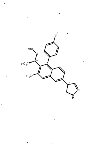 Cc1cc2cc(C3C=NNC3)ccc2c(-c2ccc(Cl)cc2)c1[C@H](OC(C)(C)C)C(=O)O